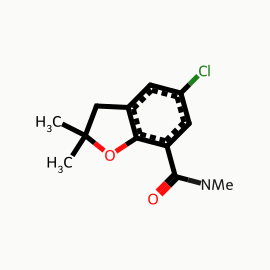 CNC(=O)c1cc(Cl)cc2c1OC(C)(C)C2